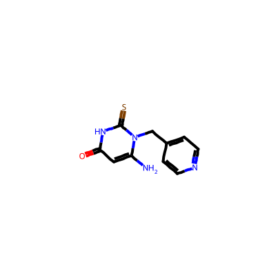 Nc1cc(=O)[nH]c(=S)n1Cc1ccncc1